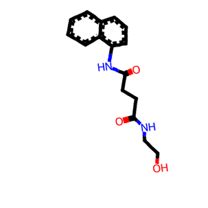 O=C(CCC(=O)Nc1cccc2ccccc12)NCCO